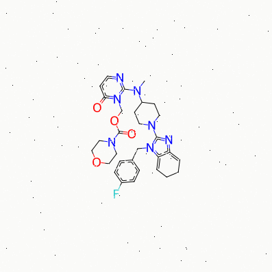 CN(c1nccc(=O)n1COC(=O)N1CCOCC1)C1CCN(c2nc3c(n2Cc2ccc(F)cc2)=CCCC=3)CC1